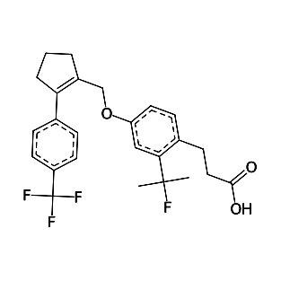 CC(C)(F)c1cc(OCC2=C(c3ccc(C(F)(F)F)cc3)CCC2)ccc1CCC(=O)O